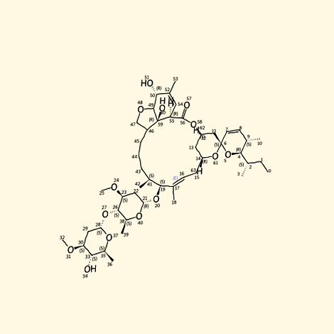 CC[C@H](C)[C@H]1O[C@]2(C=C[C@@H]1C)C[C@@H]1C[C@@H](C/C=C(\C)[C@@H](O[C@H]3C[C@H](OC)[C@@H](O[C@H]4C[C@H](OC)[C@@H](O)[C@H](C)O4)[C@H](C)O3)[C@@H](C)CCCC3COC4[C@H](O)C(C)=C[C@@H](C(=O)O1)[C@]34O)O2